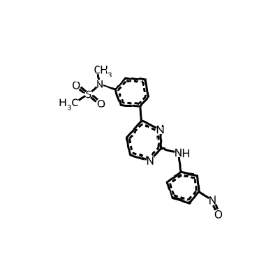 CN(c1cccc(-c2ccnc(Nc3cccc(N=O)c3)n2)c1)S(C)(=O)=O